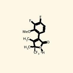 [2H]N1C(=O)C(c2ccc(F)c(F)c2OC)=C(C)[C@]1(C)C(F)(F)F